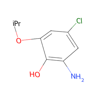 CC(C)Oc1cc(Cl)cc(N)c1O